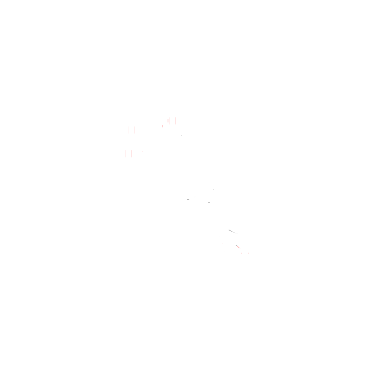 C[C@H]1OC(O[C@H]2CC[C@@]3(C)[C@H](CC[C@@H]4[C@@H]3CC[C@]3(C)[C@@H](C5=CC(=O)OC5)CC[C@@H]43)C2)[C@H](O)[C@@H](O)[C@H]1O